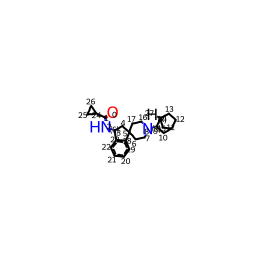 O=C(N[C@H]1CC2(CCN([C@@H]3CC4CC[C@@H]3C4)CC2)c2ccccc21)C1CC1